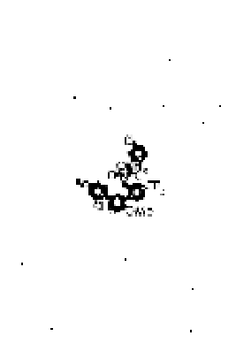 COc1ccc(-c2ccc(C(C)=O)cc2C)cc1-c1ccc(C(F)(F)F)cc1CN1C(=O)O[C@H](c2cccc(Cl)c2)[C@@H]1C